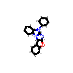 c1ccc(-n2c3ccccc3n3c4c(nc23)oc2ccccc24)cc1